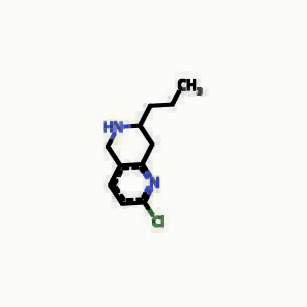 CCCC1Cc2nc(Cl)ccc2CN1